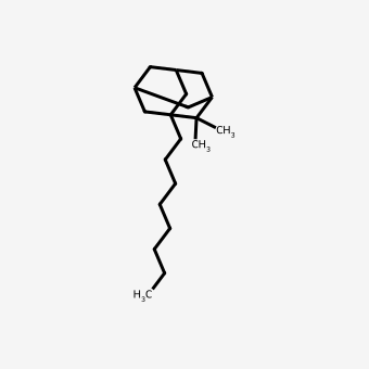 CCCCCCCCC12CC3CC(CC(C3)C1(C)C)C2